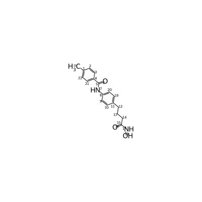 Cc1ccc(C(=O)Nc2ccc(CCCC(=O)NO)cc2)cc1